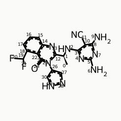 C[C@H](Nc1nc(N)nc(N)c1C#N)c1nc2cccc(C(F)F)c2c(=O)n1-c1cn[nH]c1